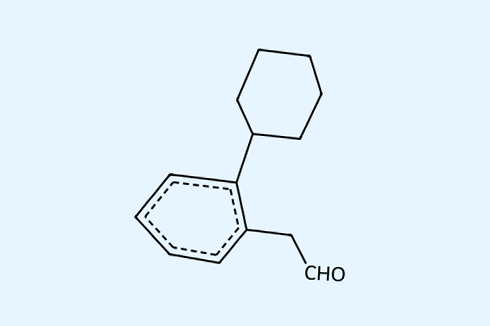 O=CCc1ccccc1C1CCCCC1